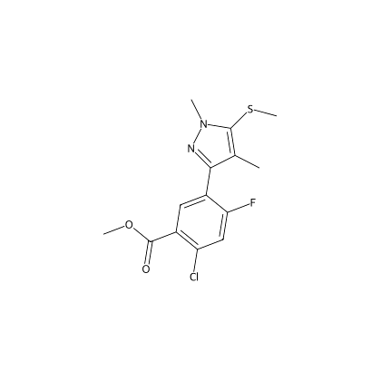 COC(=O)c1cc(-c2nn(C)c(SC)c2C)c(F)cc1Cl